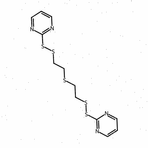 c1cnc(SSCCSCCSSc2ncccn2)nc1